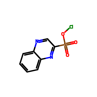 O=S(=O)(OCl)c1cnc2ccccc2n1